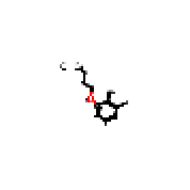 Cc1cccc(OCCCC=O)c1C